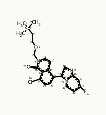 C[Si](C)(C)CCOCn1ccc2c(-c3cnc4cc(F)ccn34)ccc(Cl)c2c1=O